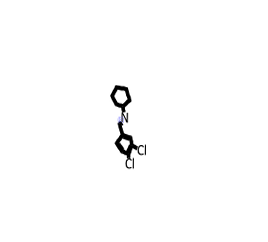 Clc1ccc(/C=N/C2CCCCC2)cc1Cl